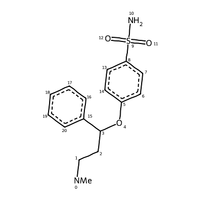 CNCCC(Oc1ccc(S(N)(=O)=O)cc1)c1ccccc1